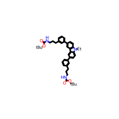 CCn1c2ccc(-c3cccc(CCCNC(=O)OC(C)(C)C)c3)cc2c2cc(-c3cccc(CCCNC(=O)OC(C)(C)C)c3)ccc21